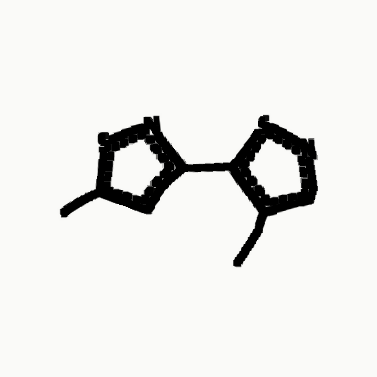 Cc1cc(-c2sncc2C)ns1